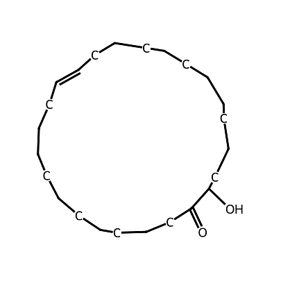 O=C1CCCCCCCCCC/C=C/CCCCCCCCCCC1O